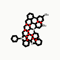 CC(C)(C)c1cc(-c2cccc3cccc(-c4ccccc4N(c4ccccc4-c4ccc5oc6ccccc6c5c4)c4ccccc4-c4cccc5c4c4ccccc4n5-c4ccccc4)c23)cc(C(C)(C)C)c1